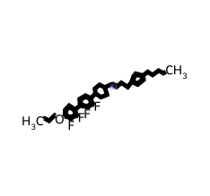 CCCCCc1ccc(CC/C=C/C2CCC(c3ccc(-c4ccc(OCCCC)c(F)c4F)c(F)c3F)CC2)cc1